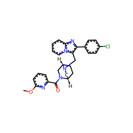 COc1cccc(C(=O)N2C[C@@H]3CC[C@H]2CN3Cc2c(-c3ccc(Cl)cc3)nc3ccccn23)n1